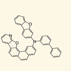 c1ccc(-c2cccc(N(c3ccc4c(c3)oc3ccccc34)c3ccc4ccc5ccc6c7cccnc7oc6c5c4c3)c2)cc1